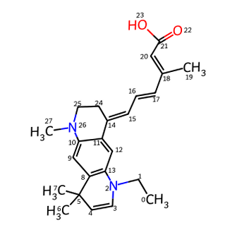 CCN1C=CC(C)(C)c2cc3c(cc21)C(=CC=CC(C)=CC(=O)O)CCN3C